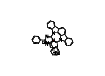 CC(C)(C)c1cc(-n2c3ccccc3c3ccc4c5ccccc5n(-c5nc(-c6ccccc6)nc(-c6ccccc6)n5)c4c32)cc(C(C)(C)C)c1